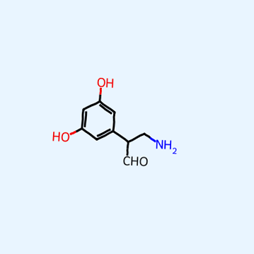 NCC(C=O)c1cc(O)cc(O)c1